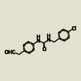 O=CCc1ccc(NC(=O)NCc2ccc(Cl)cc2)cc1